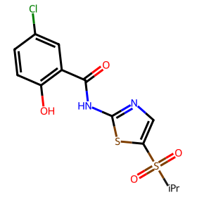 CC(C)S(=O)(=O)c1cnc(NC(=O)c2cc(Cl)ccc2O)s1